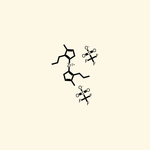 CCCC1=[C]([Zr+2][C]2=C(CCC)C(C)=CC2)CC=C1C.O=S(=O)([O-])C(F)(F)F.O=S(=O)([O-])C(F)(F)F